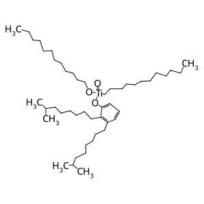 CCCCCCCCCCCC[O][Ti](=[O])([CH2]CCCCCCCCCCC)[O]c1cccc(CCCCCCC(C)C)c1CCCCCCC(C)C